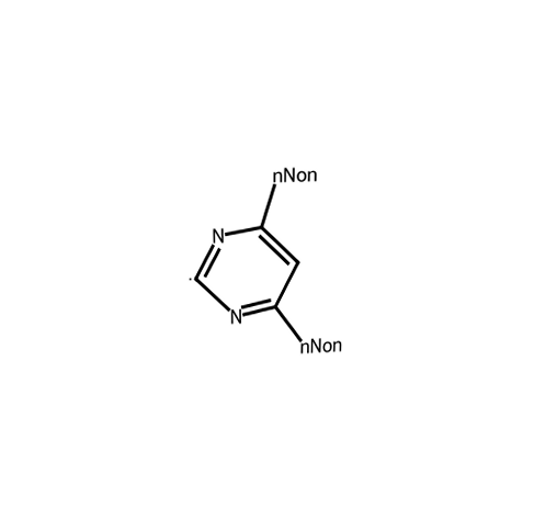 CCCCCCCCCc1cc(CCCCCCCCC)n[c]n1